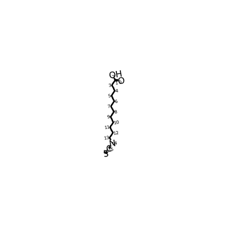 O=C(O)CCCCCCCCCCCN=C=S